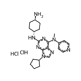 CN(c1ccncc1)c1nc(N[C@H]2CC[C@H](N)CC2)nc2c1ncn2C1CCCC1.Cl.Cl